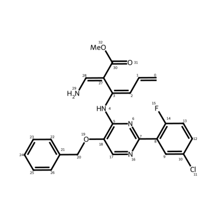 C=C/C=C(Nc1nc(-c2cc(Cl)ccc2F)ncc1OCc1ccccc1)\C(=C/N)C(=O)OC